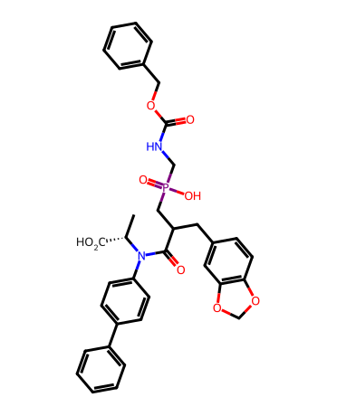 C[C@@H](C(=O)O)N(C(=O)C(Cc1ccc2c(c1)OCO2)CP(=O)(O)CNC(=O)OCc1ccccc1)c1ccc(-c2ccccc2)cc1